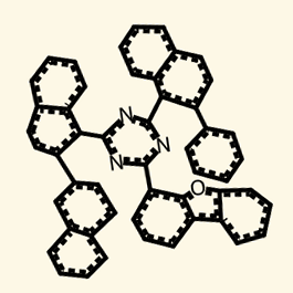 c1ccc(-c2ccc3ccccc3c2-c2nc(-c3c(-c4ccc5ccccc5c4)ccc4ccccc34)nc(-c3cccc4c3oc3ccccc34)n2)cc1